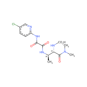 C[C@@H](NC(=O)C(=O)Nc1ccc(Cl)cn1)[C@H](NC(=O)O)C(=O)N(C)C